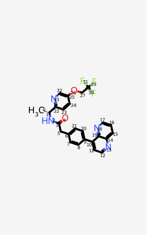 C[C@@H](NC(=O)Cc1ccc(-c2ccnc3cccnc23)cc1)c1ccc(OCC(F)(F)F)cn1